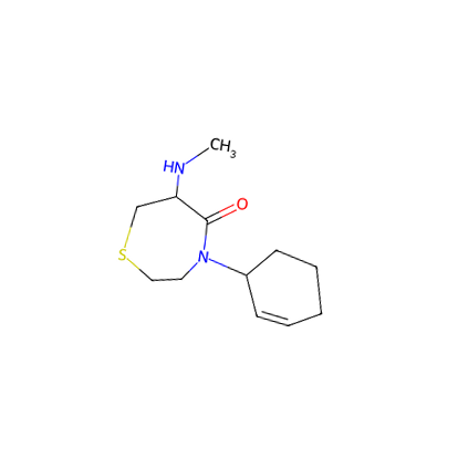 CNC1CSCCN(C2C=CCCC2)C1=O